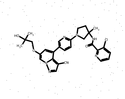 CC(C)(O)COc1cc(-c2ccc(N3CCC(C)(NC(=O)c4ncccc4Cl)C3)nc2)c2c(C#N)cnn2c1